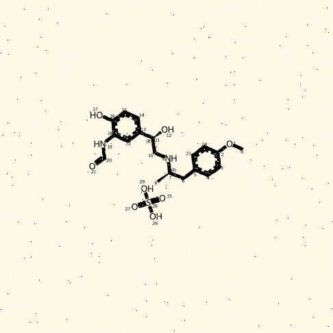 COc1ccc(C[C@@H](C)NC[C@H](O)c2ccc(O)c(NC=O)c2)cc1.O=S(=O)(O)O